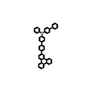 c1ccc(-c2ccc(N(c3ccccc3)c3ccc(-c4ccc(-c5ccc6c7ccccc7c7ccccc7c6c5)cc4)cc3)cc2)cc1